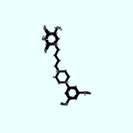 COc1cc(OC)cc(N2CCN(CCCCn3cc(C)c(=O)[nH]c3=O)CC2)c1